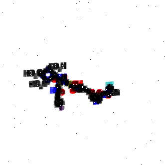 N#C[C@H]1CC(F)(F)CN1C(=O)CNC(=O)c1ccnc2ccc(OCCCCC3CCN(C(=O)[C@H](O)CSCCNC(=O)[C@H](CSCCNC(=O)CCCc4ccc(I)cc4)NC(=O)CN4CCN(CC(=O)O)CCN(CC(=O)O)CCN(CC(=O)O)CC4)CC3)cc12